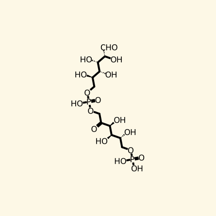 O=C[C@H](O)[C@@H](O)[C@H](O)[C@H](O)COP(=O)(O)OCC(=O)[C@@H](O)[C@H](O)[C@H](O)COP(=O)(O)O